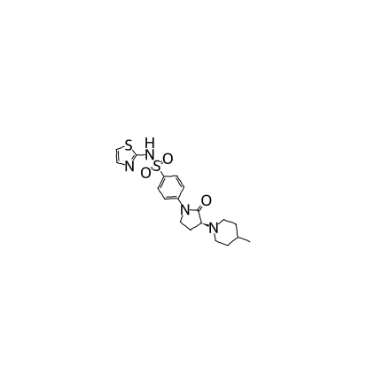 CC1CCN([C@H]2CCN(c3ccc(S(=O)(=O)Nc4nccs4)cc3)C2=O)CC1